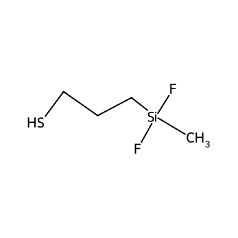 C[Si](F)(F)CCCS